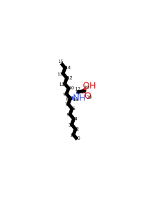 CCCCCCCCC(CCCCCCC)NCC(=O)O